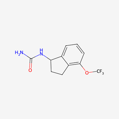 NC(=O)NC1CCc2c(OC(F)(F)F)cccc21